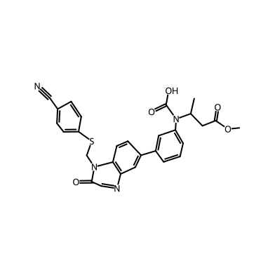 COC(=O)CC(C)N(C(=O)O)c1cccc(-c2ccc3c(c2)ncc(=O)n3CSc2ccc(C#N)cc2)c1